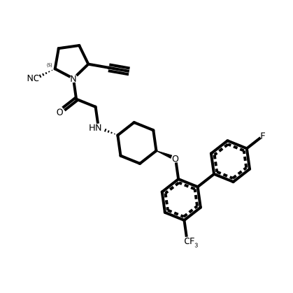 C#CC1CC[C@@H](C#N)N1C(=O)CN[C@H]1CC[C@H](Oc2ccc(C(F)(F)F)cc2-c2ccc(F)cc2)CC1